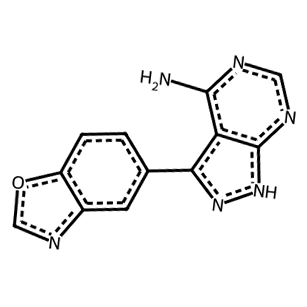 Nc1ncnc2[nH]nc(-c3ccc4ocnc4c3)c12